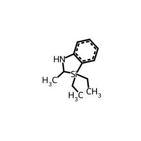 CC[Si]1(CC)c2ccccc2NC1C